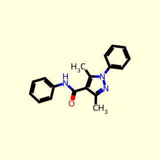 Cc1nn(-c2ccccc2)c(C)c1C(=O)Nc1ccccc1